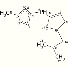 Cc1ccc(PC2=CCC(CC(C)C)S2)s1